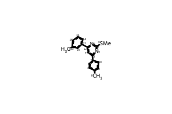 CSc1nc(-c2ccc(C)cc2)cc(-c2cccc(C)c2)n1